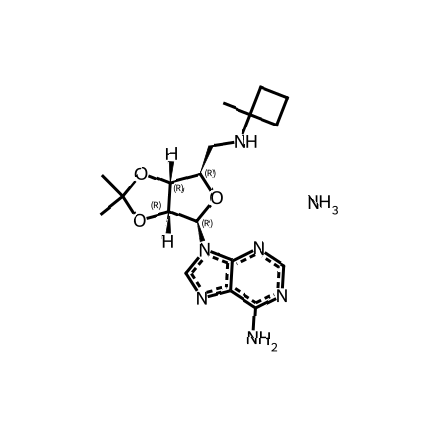 CC1(NC[C@H]2O[C@@H](n3cnc4c(N)ncnc43)[C@@H]3OC(C)(C)O[C@@H]32)CCC1.N